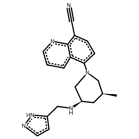 C[C@H]1C[C@@H](NCc2ccn[nH]2)CN(c2ccc(C#N)c3ncccc23)C1